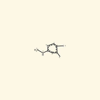 Cc1cc(NN)ncc1I